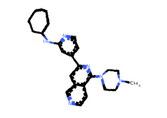 CN1CCN(c2nc(-c3ccnc(NC4CCCCC4)c3)cc3cnccc23)CC1